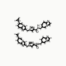 O=C(NCc1ccc2nccn2c1)c1cn(Cc2cn3cc(C4CC4)ccc3n2)nn1.O=C(NCc1ccc2nccn2c1)c1cn(Cc2cn3cc(C4CC4)ccc3n2)nn1